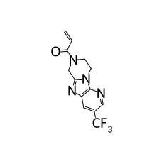 C=CC(=O)N1CCn2c(nc3cc(C(F)(F)F)cnc32)C1